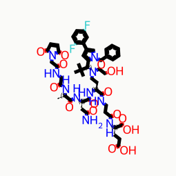 C[C@H](NC(=O)CNC(=O)CN1C(=O)C=CC1=O)C(=O)N[C@@H](CC(N)=O)C(=O)N[C@@H](CCN(C(=O)CO)[C@@H](c1cc(-c2cc(F)ccc2F)cn1Cc1ccccc1)C(C)(C)C)C(=O)NCCC(=O)N[C@@H](CCC(=O)O)C(=O)O